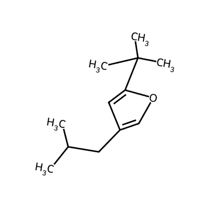 CC(C)Cc1coc(C(C)(C)C)c1